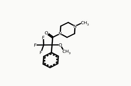 COC(C(=O)N1CCN(C)CC1)(c1ccccc1)C(F)(F)F